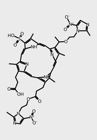 CC1=C(CCC(=O)O)c2cc3[nH]c(cc4nc(cc5[nH]c(cc1n2)c(S(=O)(=O)O)c5C)C(C(C)OCCn1c([N+](=O)[O-])cnc1C)=C4C)c(C)c3CCC(=O)OCCn1c([N+](=O)[O-])cnc1C